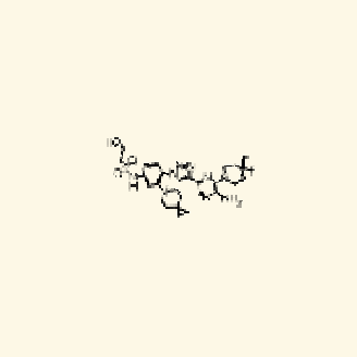 Nc1ncc(-c2cn(-c3ccc(NS(=O)(=O)CCO)cc3N3CCC4(CC3)CC4)nn2)nc1N1CCC(F)(F)CC1